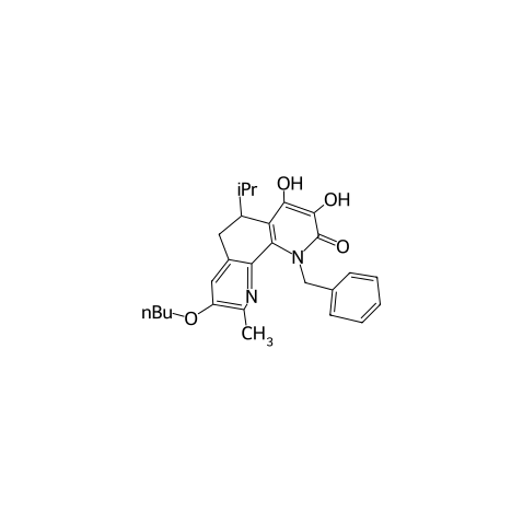 CCCCOc1cc2c(nc1C)-c1c(c(O)c(O)c(=O)n1Cc1ccccc1)C(C(C)C)C2